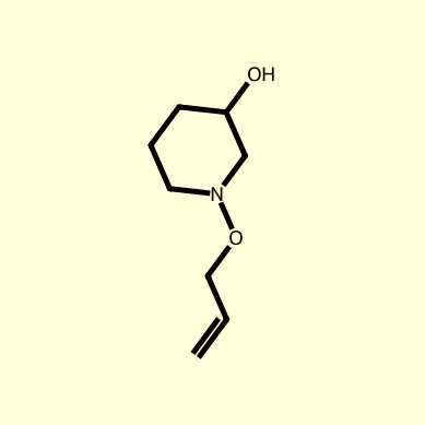 C=CCON1CCCC(O)C1